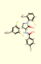 COc1cc(F)c([C@@H]2CN(c3c(F)cccc3C#N)C(=O)C2NC(=O)c2ccc(Cl)cc2)c(F)c1